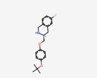 CC(C)(C)Oc1ccc(OC[C@@H]2Cc3cc(F)ccc3CN2)cc1